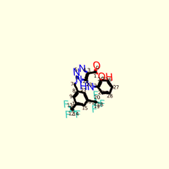 O=C(O)c1nnn(Cc2cc(C(F)(F)F)cc(C(F)(F)F)c2)c1Nc1ccccc1